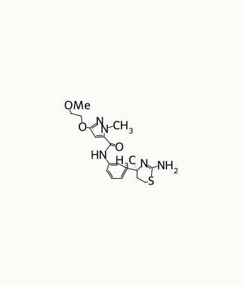 COCCOc1cc(C(=O)Nc2cccc([C@]3(C)CCSC(N)=N3)c2)n(C)n1